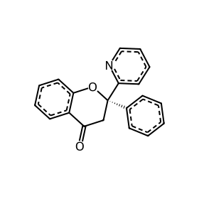 O=C1C[C@](c2ccccc2)(c2ccccn2)Oc2ccccc21